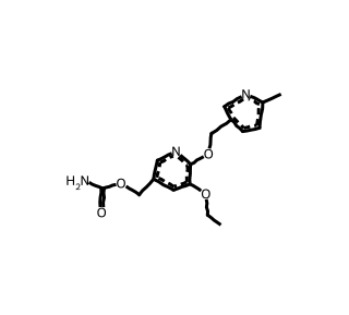 CCOc1cc(COC(N)=O)cnc1OCc1ccc(C)nc1